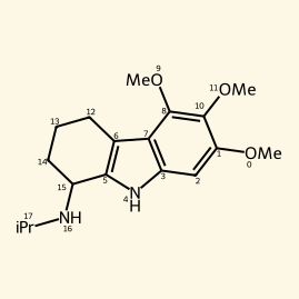 COc1cc2[nH]c3c(c2c(OC)c1OC)CCCC3NC(C)C